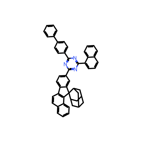 c1ccc(-c2ccc(-c3nc(-c4ccc5c(c4)C4(c6c-5ccc5ccccc65)C5CC6CC(C5)CC4C6)nc(-c4cccc5ccccc45)n3)cc2)cc1